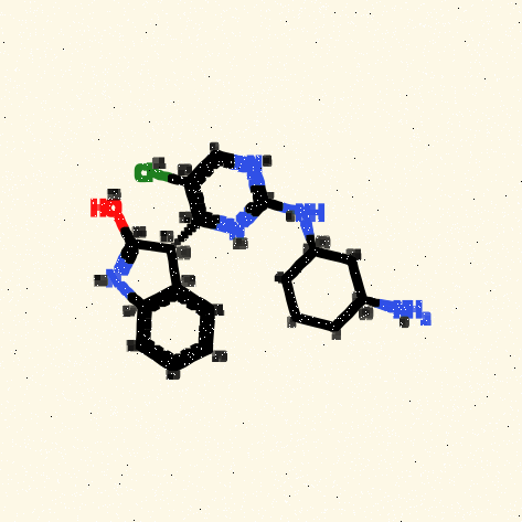 N[C@H]1CCC[C@@H](Nc2ncc(Cl)c([C@H]3C(O)=Nc4ccccc43)n2)C1